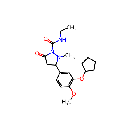 CCNC(=O)N1C(=O)CC(c2ccc(OC)c(OC3CCCC3)c2)N1C